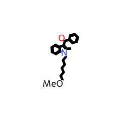 COCCCCCCCn1c(C)c(C(=O)c2ccccc2)c2ccccc21